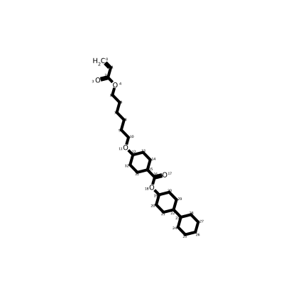 C=CC(=O)OCCCCCCOC1CCC(C(=O)OC2CCC(C3CCCCC3)CC2)CC1